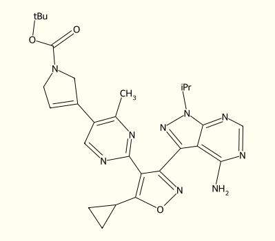 Cc1nc(-c2c(-c3nn(C(C)C)c4ncnc(N)c34)noc2C2CC2)ncc1C1=CCN(C(=O)OC(C)(C)C)C1